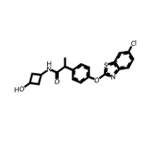 CC(C(=O)NC1CC(O)C1)c1ccc(Oc2nc3ccc(Cl)cc3s2)cc1